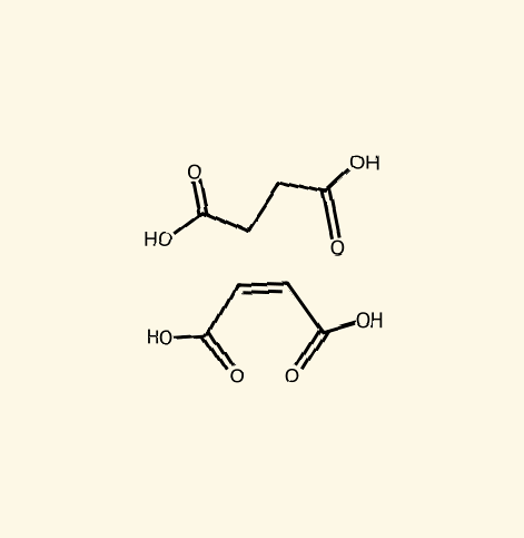 O=C(O)/C=C\C(=O)O.O=C(O)CCC(=O)O